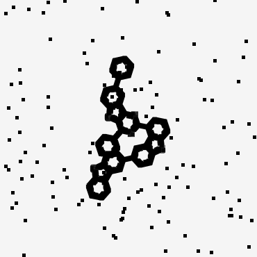 c1ccc(-c2ccc3oc4c(-c5ccccc5)nc(-c5cccc6sc7ccc(-c8ccc9oc%10ccccc%10c9c8)cc7c56)nc4c3c2)cc1